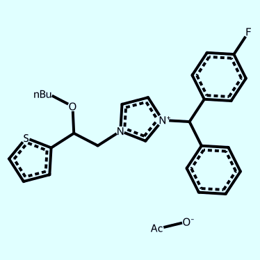 CC(=O)[O-].CCCCOC(Cn1cc[n+](C(c2ccccc2)c2ccc(F)cc2)c1)c1cccs1